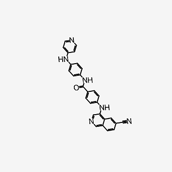 N#Cc1ccc2cncc(Nc3ccc(C(=O)Nc4ccc(Nc5ccncc5)cc4)cc3)c2c1